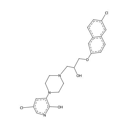 Oc1ncc(Cl)cc1N1CCN(CC(O)COc2ccc3cc(Cl)ccc3c2)CC1